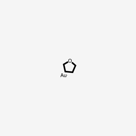 C1CCOC1.[Au]